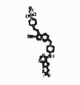 CS(=O)(=O)N1CCN(CCc2c(C#N)cn3cc(CN4CCC(Nc5ncnc6sc(CC(F)(F)F)cc56)CC4)ccc23)CC1